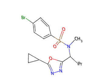 CC(C)C(c1nnc(C2CC2)o1)N(C)S(=O)(=O)c1ccc(Br)cc1